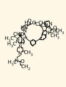 C=CC(=O)N(C)CCN1CCN(C(=O)N(C)[C@H](C(=O)N[C@H]2Cc3cccc(c3)-c3ccc4c(c3)c(c(-c3cccnc3[C@H](C)OC)n4CC)CC(C)(C)COC(=O)[C@@H]3CCCN(N3)C2=O)C(C)C)C[C@@H]1C